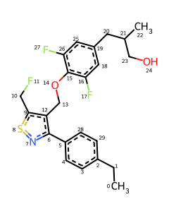 CCc1ccc(-c2nsc(CF)c2COc2c(F)cc(CC(C)CO)cc2F)cc1